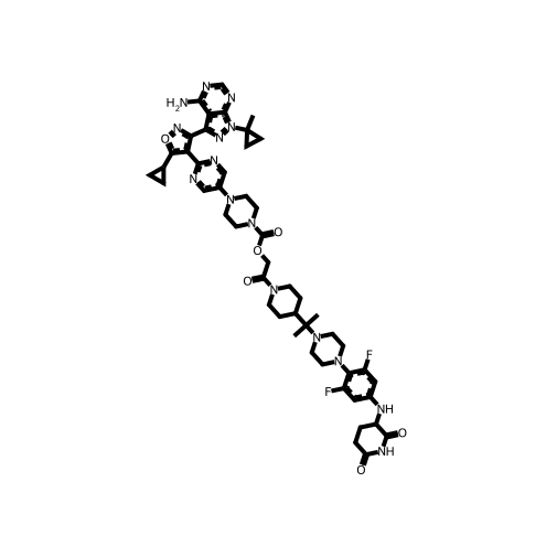 CC(C)(C1CCN(C(=O)COC(=O)N2CCN(c3cnc(-c4c(-c5nn(C6(C)CC6)c6ncnc(N)c56)noc4C4CC4)nc3)CC2)CC1)N1CCN(c2c(F)cc(NC3CCC(=O)NC3=O)cc2F)CC1